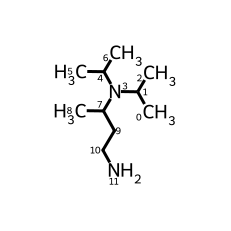 CC(C)N(C(C)C)C(C)CCN